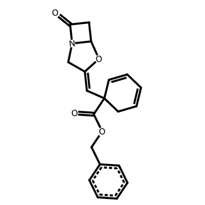 O=C1CC2OC(=CC3(C(=O)OCc4ccccc4)C=CC=CC3)CN12